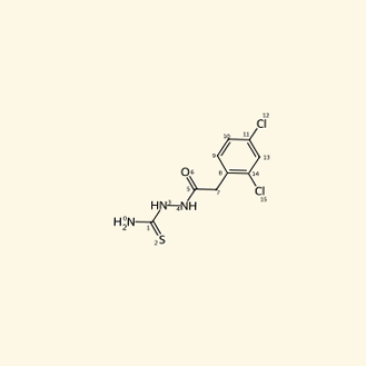 NC(=S)NNC(=O)Cc1ccc(Cl)cc1Cl